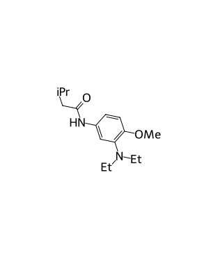 CCN(CC)c1cc(NC(=O)CC(C)C)ccc1OC